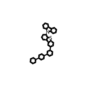 c1ccc(-c2ccc(-c3cccc(-c4ccc5sc6c(-n7c8ccccc8c8ccccc87)cccc6c5c4)c3)cc2)cc1